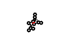 c1ccc(N(c2ccc(-c3ccc4ccccc4c3)cc2)c2cc3ccccc3c3ccccc23)c(-c2ccc3oc4cc5ccccc5cc4c3c2)c1